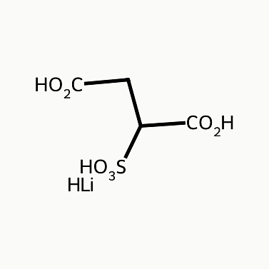 O=C(O)CC(C(=O)O)S(=O)(=O)O.[LiH]